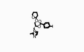 Cc1nccn1C[C@H](COC1CCCCO1)OC(=O)c1ccc(I)cc1